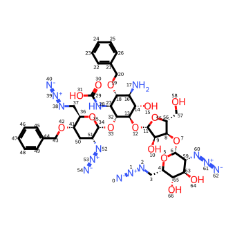 [N-]=[N+]=NC[C@@H]1O[C@H](O[C@H]2[C@@H](O)[C@H](O[C@@H]3[C@@H](O)[C@H](N)[C@@H](OCc4ccccc4)[C@H](NC(=O)O)[C@H]3O[C@H]3O[C@H](CN=[N+]=[N-])[C@@H](OCc4ccccc4)C[C@H]3N=[N+]=[N-])O[C@@H]2CO)[C@H](N=[N+]=[N-])[C@@H](O)[C@@H]1O